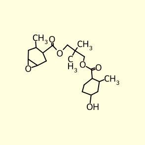 CC1CC(O)CCC1C(=O)OCC(C)(C)COC(=O)C1CC2OC2CC1C